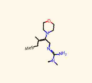 CSC/C(C)=C(\C/N=C(\N)N(C)C)N1CCOCC1